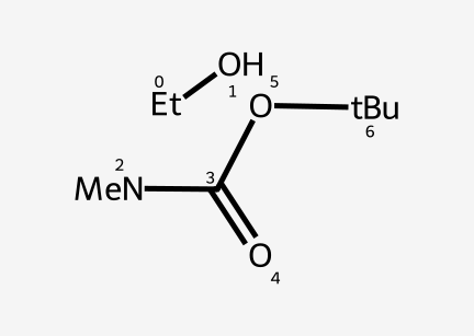 CCO.CNC(=O)OC(C)(C)C